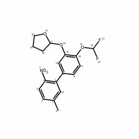 [CH2]c1ccc([N+](=O)[O-])c(-c2ccc(OC(F)F)c(OC3CCCO3)c2)c1